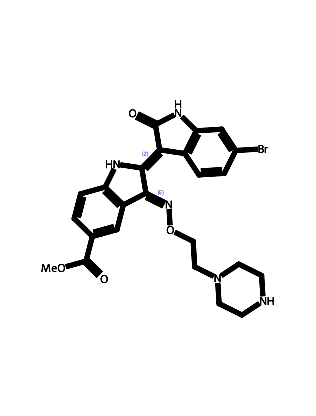 COC(=O)c1ccc2c(c1)C(=N\OCCN1CCNCC1)/C(=C1/C(=O)Nc3cc(Br)ccc31)N2